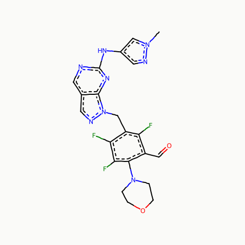 Cn1cc(Nc2ncc3cnn(Cc4c(F)c(F)c(N5CCOCC5)c(C=O)c4F)c3n2)cn1